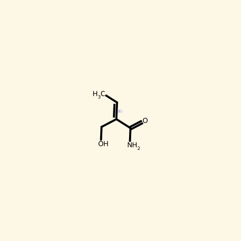 C/C=C(\CO)C(N)=O